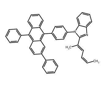 C/C=C\C=C(/C)c1nc2ccccc2n1-c1ccc(-c2c3ccccc3c(-c3ccccc3)c3ccc(-c4ccccc4)cc23)cc1